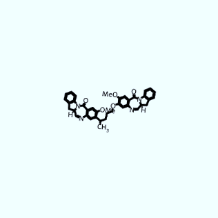 COc1cc2c(cc1OCCCC(C)c1cc3c(cc1OC)C(=O)N1c4ccccc4C[C@H]1C=N3)N=C[C@@H]1Cc3ccccc3N1C2=O